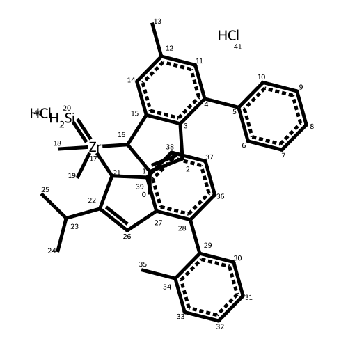 CC1=Cc2c(-c3ccccc3)cc(C)cc2[CH]1[Zr]([CH3])([CH3])(=[SiH2])[CH]1C(C(C)C)=Cc2c(-c3ccccc3C)cccc21.Cl.Cl